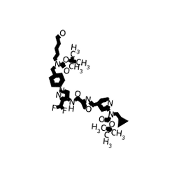 CC(C)(C)OC(=O)N(CCCCC=O)Cc1ccc(-n2cc(NC(=O)c3coc(-c4ccnc(N(CC5CC5)C(=O)OC(C)(C)C)c4)n3)c(C(F)F)n2)cc1